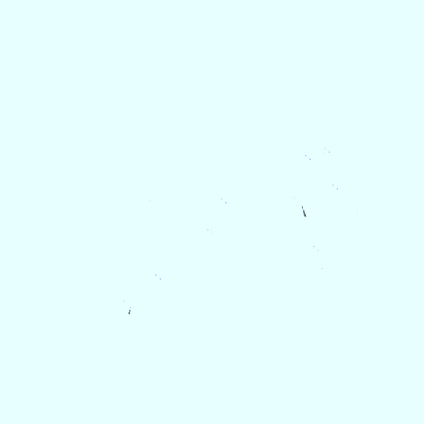 CC(=O)N1CC([C@@H](c2cccc(-n3cc4c(C(F)(F)F)cc(CN5CCC[C@H](C)C5)cn4c3=O)c2)c2nncn2C)C1